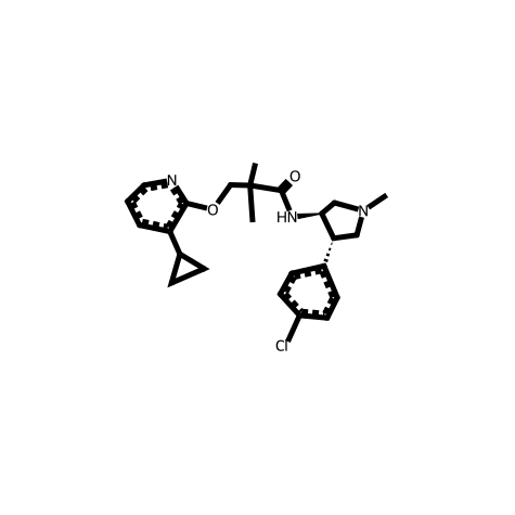 CN1C[C@H](NC(=O)C(C)(C)COc2ncccc2C2CC2)[C@@H](c2ccc(Cl)cc2)C1